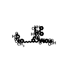 Cn1c(=O)n(C2CCC(=O)NC2=O)c2ccc(CCCCCc3cc4c5c(c3)C[C@@H](C(=O)N[C@@H](CCC(N)=O)C(=O)NC(c3ccccc3)c3ccccc3)N5C(=O)[C@@H](NC(=O)c3cc5cc(C(=O)P(=O)(O)O)ccc5[nH]3)CC4)cc21